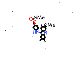 CNC(=O)OCc1ccc(Nc2c3cc(C)c(C)cc3nc3cc(OC)c(C)cc23)cc1